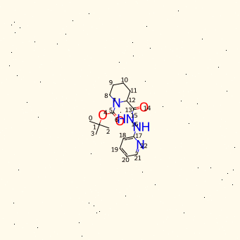 CC(C)(C)OC(=O)N1CCCCC1C(=O)NNc1ccccn1